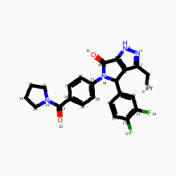 CC(C)Cc1n[nH]c2c1C(c1ccc(F)c(F)c1)N(c1ccc(C(=O)N3CCCC3)cc1)C2=O